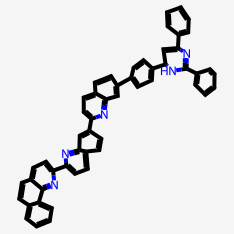 C1=C(c2ccccc2)N=C(c2ccccc2)NC1c1ccc(-c2ccc3ccc(-c4ccc5ccc(-c6ccc7ccc8ccccc8c7n6)nc5c4)nc3c2)cc1